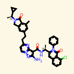 Cc1cc(CCc2ccn3nc(N)c(C(=O)N[C@@H](C)c4cc5cccc(Cl)c5c(=O)n4-c4ccccc4)c3n2)cc2c1C(=O)N([C@@H](C)C1CC1)C2